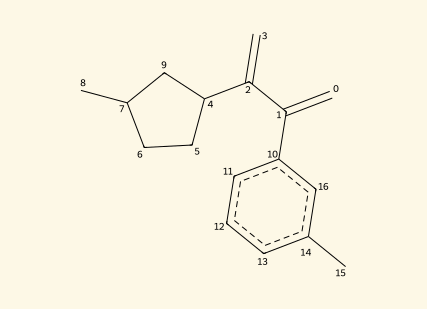 C=C(C(=C)C1CCC(C)C1)c1cccc(C)c1